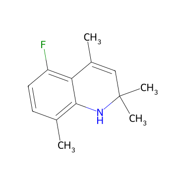 CC1=CC(C)(C)Nc2c(C)ccc(F)c21